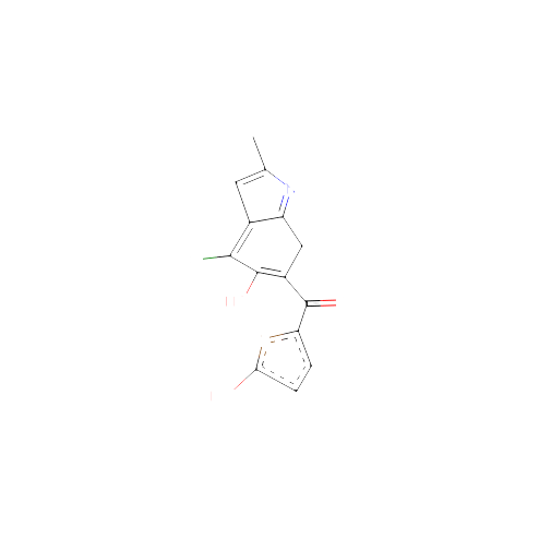 CC1=[C]C2=C(Cl)C(O)=C(C(=O)c3ccc(O)s3)CC2=N1